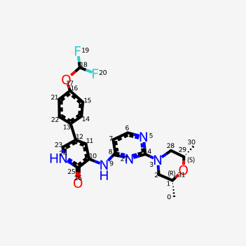 C[C@@H]1CN(c2nccc(Nc3cc(-c4ccc(OC(F)F)cc4)c[nH]c3=O)n2)C[C@H](C)O1